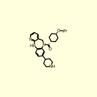 CC(C)O[C@H]1CC[C@H](C(=O)N2Cc3cccnc3Nc3ccc(C4CCNCC4)cc32)CC1